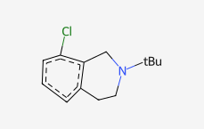 CC(C)(C)N1CCc2cccc(Cl)c2C1